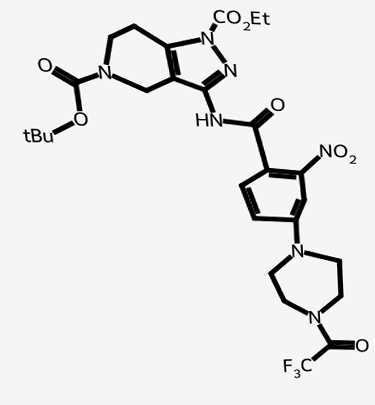 CCOC(=O)n1nc(NC(=O)c2ccc(N3CCN(C(=O)C(F)(F)F)CC3)cc2[N+](=O)[O-])c2c1CCN(C(=O)OC(C)(C)C)C2